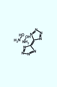 N1=NC(=C2N=NN=N2)N=N1.NO.NO